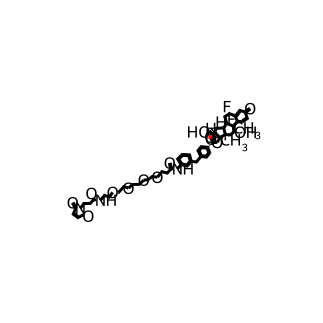 C[C@]12C=CC(=O)C=C1[C@@H](F)C[C@H]1C3C[C@H]4O[C@@H](c5ccc(Cc6cccc(NC(=O)CCOCCOCCOCCOCCNC(=O)CCN7C(=O)C=CC7=O)c6)cc5)O[C@@]4(C(=O)CO)[C@@]3(C)C[C@H](O)[C@@]12F